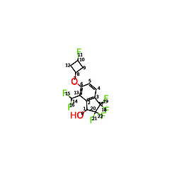 OC1c2c(ccc(OC3CC(F)C3)c2C(F)F)C(F)(F)C1(F)F